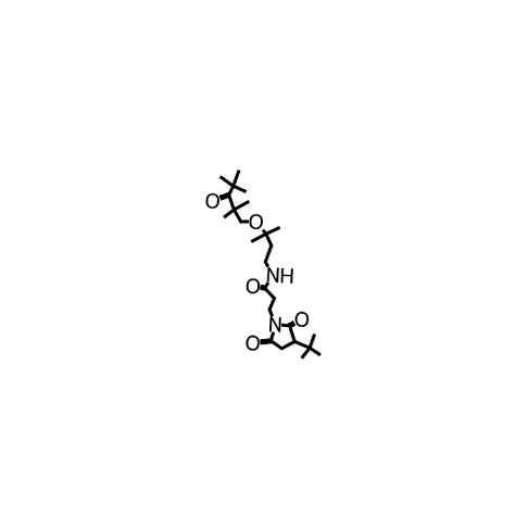 CC(C)(CCNC(=O)CCN1C(=O)CC(C(C)(C)C)C1=O)OCC(C)(C)C(=O)C(C)(C)C